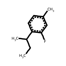 CCC(C)c1ccc(C)cc1F